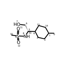 CC1CCC([C@@H](CO)NS(C)(=O)=O)CC1